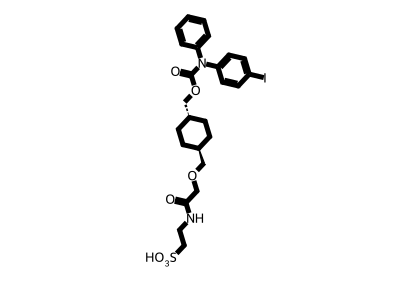 O=C(COC[C@H]1CC[C@H](COC(=O)N(c2ccccc2)c2ccc(I)cc2)CC1)NCCS(=O)(=O)O